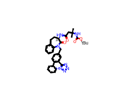 CC(C)(CC(=O)N[C@@H]1CCc2ccccc2N(Cc2ccc(-c3ccccc3)c(-c3nnn[nH]3)c2)C1=O)NC(=O)OC(C)(C)C